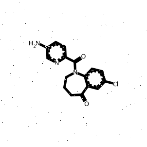 Nc1ccc(C(=O)N2CCCC(=O)c3cc(Cl)ccc32)nc1